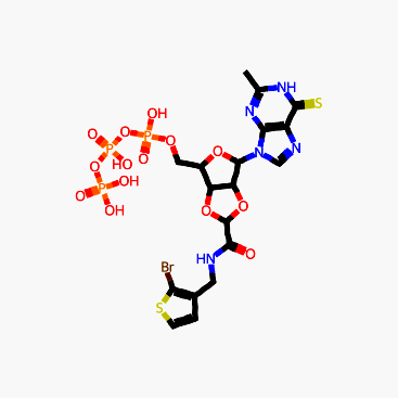 Cc1nc2c(ncn2C2OC(COP(=O)(O)OP(=O)(O)OP(=O)(O)O)C3OC(C(=O)NCc4ccsc4Br)OC32)c(=S)[nH]1